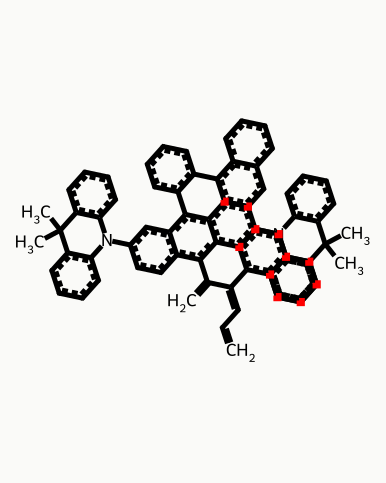 C=C/C=C(\C(=C)c1c2cc(N3c4ccccc4C(C)(C)c4ccccc43)ccc2c(-c2ccccc2-c2cccc3ccccc23)c2cc(N3c4ccccc4C(C)(C)c4ccccc43)ccc12)c1cccc2ccccc12